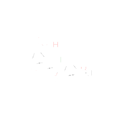 COc1ccc(C(=O)/C=C/c2cc(C(=O)O)ccc2O)c(F)c1